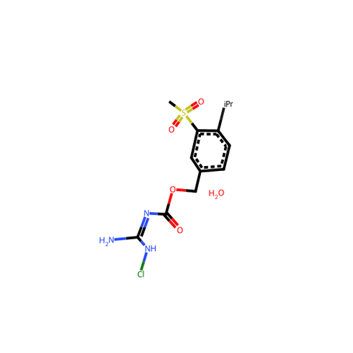 CC(C)c1ccc(COC(=O)N=C(N)NCl)cc1S(C)(=O)=O.O